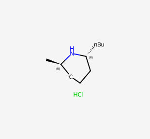 CCCC[C@@H]1CCC[C@@H](C)N1.Cl